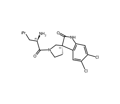 CC(C)C[C@@H](N)C(=O)N1CC[C@]2(C1)C(=O)Nc1cc(Cl)c(Cl)cc12